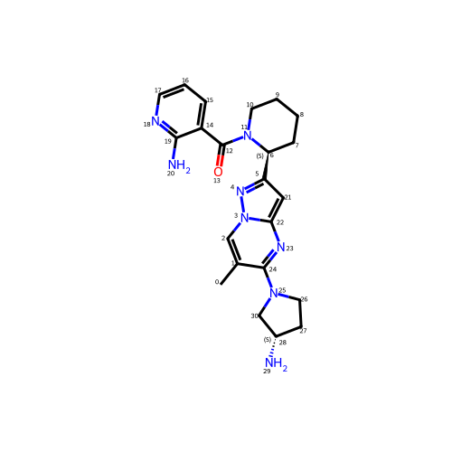 Cc1cn2nc([C@@H]3CCCCN3C(=O)c3cccnc3N)cc2nc1N1CC[C@H](N)C1